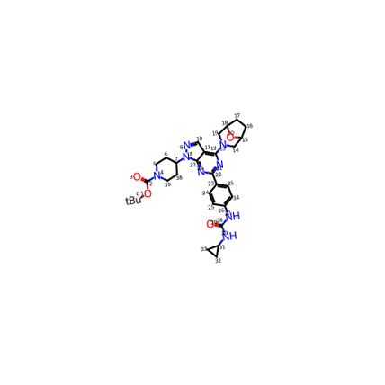 CC(C)(C)OC(=O)N1CCC(n2ncc3c(N4CC5CCC(C4)O5)nc(-c4ccc(NC(=O)NC5CC5)cc4)nc32)CC1